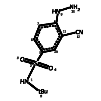 CC(C)(C)NS(=O)(=O)c1ccc(NN)c(C#N)c1